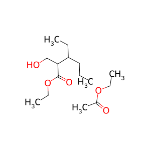 CCCC(CC)C(CO)C(=O)OCC.CCOC(C)=O